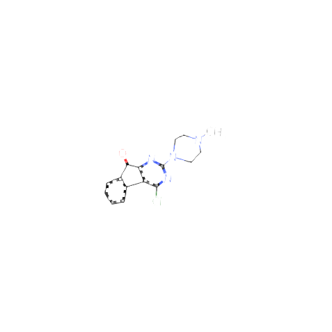 CN1CCN(c2nc(Cl)c3c(n2)C(=O)c2ccccc2-3)CC1